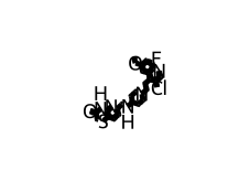 COc1cc(F)c2ncc(Cl)c(CCN3CCC(NCc4ccc5c(n4)NC(=O)CS5)CC3)c2c1